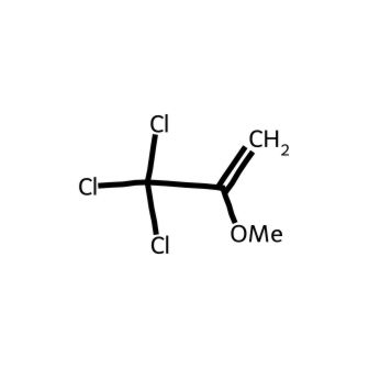 C=C(OC)C(Cl)(Cl)Cl